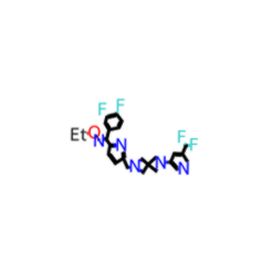 CCON=C(c1ccc(F)c(F)c1)c1ccc(CN2CC3(C2)CN(c2cncc(C(F)F)c2)C3)cn1